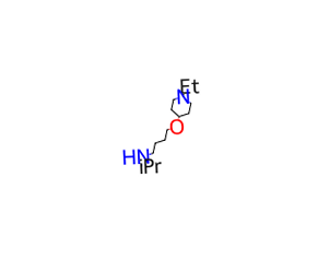 CCN1CCC(OCCCCNC(C)C)CC1